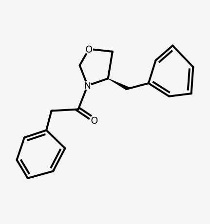 O=C(Cc1ccccc1)N1COC[C@H]1Cc1ccccc1